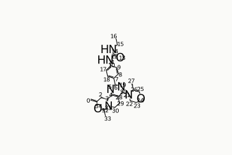 C=CC[C@H]1c2nc(-c3ccc(NC(=O)NCC)cc3)nc(N3CCOC[C@@H]3C)c2CCN1C(C)=O